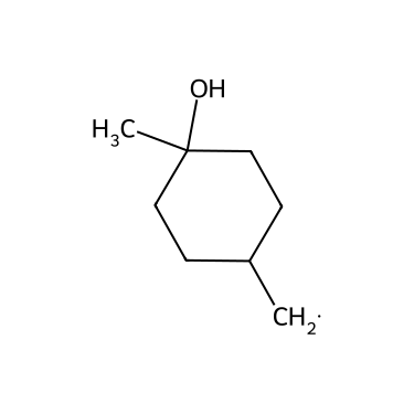 [CH2]C1CCC(C)(O)CC1